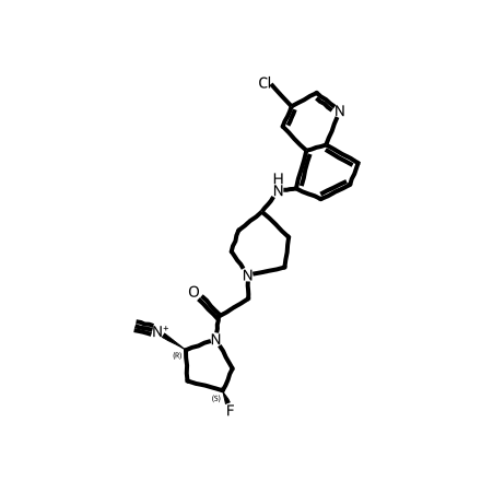 C#[N+][C@@H]1C[C@H](F)CN1C(=O)CN1CCC(Nc2cccc3ncc(Cl)cc23)CC1